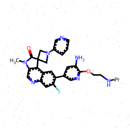 CC(C)NCCOc1ncc(-c2cc3c4c(cnc3cc2F)N(C)C(=O)C42CN(c3cccnc3)C2)cc1N